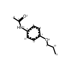 [CH2]C(=O)Nc1ccc(OCCC)cc1